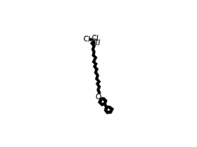 Cl[Si](Cl)(Cl)CCCCCCCCCCCCCCCCCCOc1ccc(-c2ccccc2)cc1